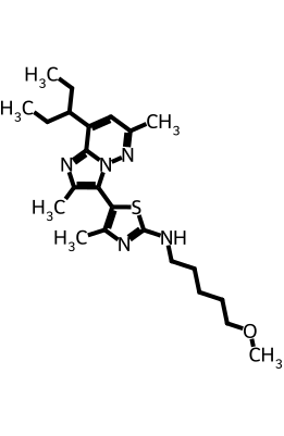 CCC(CC)c1cc(C)nn2c(-c3sc(NCCCCCOC)nc3C)c(C)nc12